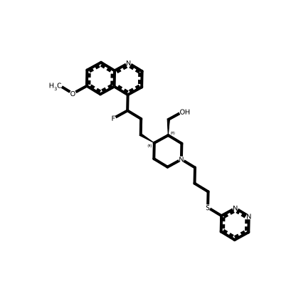 COc1ccc2nccc(C(F)CC[C@@H]3CCN(CCCSc4cccnn4)C[C@@H]3CO)c2c1